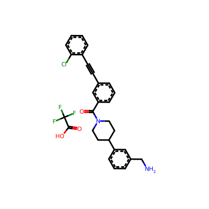 NCc1cccc(C2CCN(C(=O)c3cccc(C#Cc4ccccc4Cl)c3)CC2)c1.O=C(O)C(F)(F)F